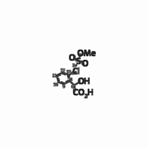 COS(C)(=O)=O.O=C(O)C(O)c1ccccc1Cl